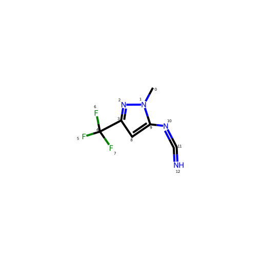 Cn1nc(C(F)(F)F)cc1N=C=N